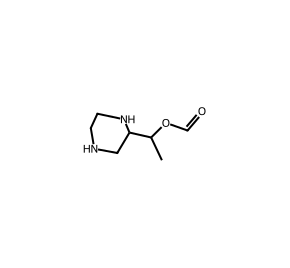 CC(OC=O)C1CNCCN1